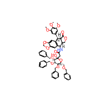 COc1cc([C@@H]2c3cc4c(cc3[C@@H](NC(=O)C[C@]3(O)O[C@H](COCc5ccccc5)[C@@H](OCc5ccccc5)[C@H](OCc5ccccc5)[C@H]3OCc3ccccc3)[C@H]3COC(=O)[C@H]23)OCO4)cc(OC)c1OC